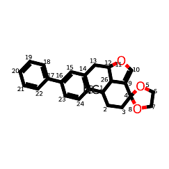 N#CC12CCC3(OCCO3)C3=COC(Cc4cc(-c5ccccc5)ccc41)C32